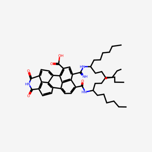 CCCCCCC(CCCCCC)NC(=N)c1cc(C(=O)O)c2c3ccc4c5c(ccc(c6ccc(C(=O)NC(CCCCCC)CCCCCC)c1c62)c53)C(=O)NC4=O